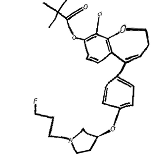 CC(C)(C)C(=O)Oc1ccc2c(c1Cl)OCCC=C2c1ccc(O[C@H]2CCN(CCCF)C2)cc1